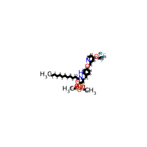 CCCCCCCCCCCC(=O)N[C@@H](/C=C/P(=O)(OCC)OCC)Cc1ccc(OCc2cc(OCC(F)(F)F)ccn2)cc1